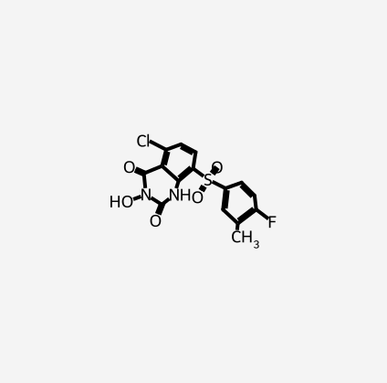 Cc1cc(S(=O)(=O)c2ccc(Cl)c3c(=O)n(O)c(=O)[nH]c23)ccc1F